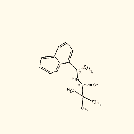 C[C@H](N[S@@+]([O-])C(C)(C)C)c1cccc2ccccc12